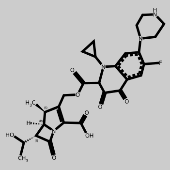 CC(O)[C@H]1C(=O)N2C(C(=O)O)=C(COC(=O)C3C(=O)C(=O)c4cc(F)c(N5CCNCC5)cc4N3C3CC3)[C@H](C)[C@H]12